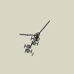 CCCCCCCCC=CCCCCCCCCOc1ccc(C(=O)NCCCCNCCCCNCCCCN)cc1OCCCCCCCCC=CCCCCCCCC